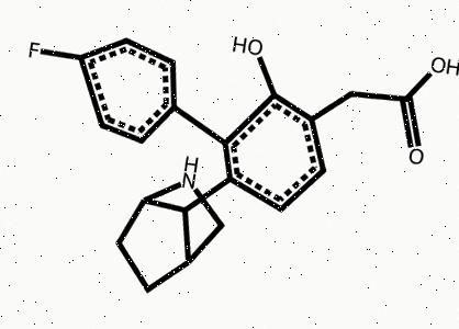 O=C(O)Cc1ccc(C2C3CCC2NC3)c(-c2ccc(F)cc2)c1O